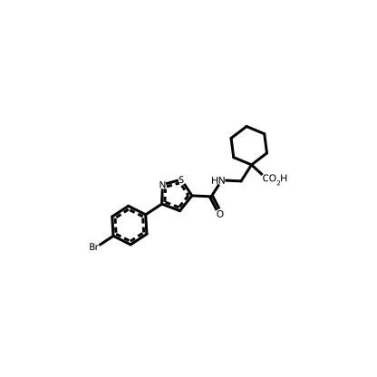 O=C(NCC1(C(=O)O)CCCCC1)c1cc(-c2ccc(Br)cc2)ns1